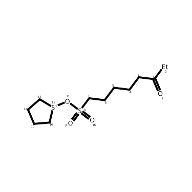 CCC(=O)CCCCCS(=O)(=O)O[S+]1CCCC1